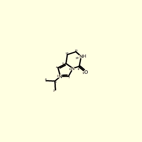 CC(C)[n+]1cc2n(c1)C(=O)NCC2